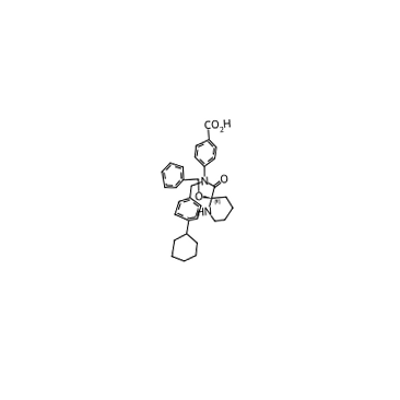 O=C(O)c1ccc(N(Cc2ccc(C3CCCCC3)cc2)C(=O)[C@]2(OCc3ccccc3)CCCCN2)cc1